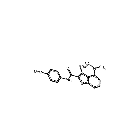 CNc1c(C(=O)Nc2ccc(OC)cc2)sc2nccc(N(C)C)c12